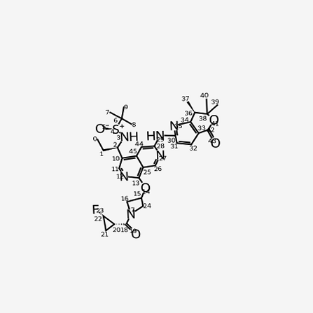 CC[C@@H](N[S@@+]([O-])C(C)(C)C)c1cnc(OC2CN(C(=O)[C@@H]3C[C@@H]3F)C2)c2cnc(Nc3ccc4c(n3)[C@@H](C)C(C)(C)OC4=O)cc12